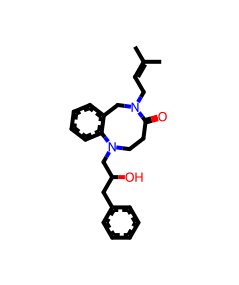 CC(C)=CCN1Cc2ccccc2N(CC(O)Cc2ccccc2)CCC1=O